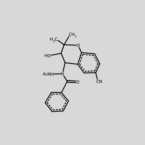 CC(=O)NN(C(=O)c1ccccc1)C1c2cc(C#N)ccc2OC(C)(C)C1O